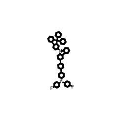 Fc1ccc(N(c2ccc(F)cc2)c2ccc(-c3ccc(-c4ccc5c(c4)c4ccccc4n5-c4ccc5c(c4)C(c4ccccc4)(c4ccccc4)c4ccccc4-5)cc3)cc2)cc1